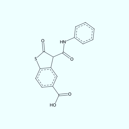 O=C(O)c1ccc2c(c1)C(C(=O)Nc1ccccc1)C(=O)S2